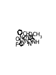 CC(=O)c1c[nH]c2ncnc(NC(C)c3cn4ccc(F)c4c(=O)n3-c3ccccc3)c12